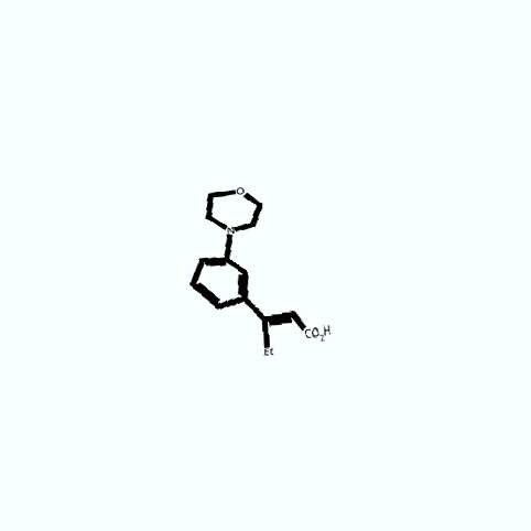 CCC(=CC(=O)O)c1cccc(N2CCOCC2)c1